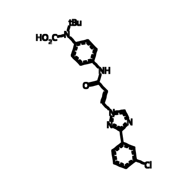 CC(C)(C)N(C(=O)O)c1ccc(NC(=O)C=Cn2cnc(-c3cccc(Cl)c3)n2)cc1